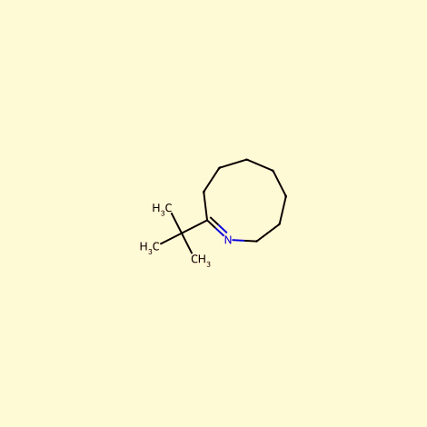 CC(C)(C)/C1=N/CCCCCCC1